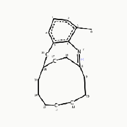 Cc1cccc2c1/N=C1/CCCCCCCC(CC1)C2